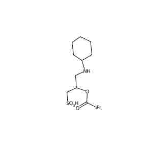 CC(C)C(=O)OC(CNC1CCCCC1)CS(=O)(=O)O